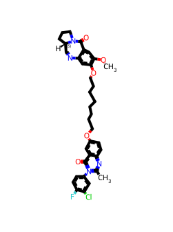 COc1cc2c(cc1OCCCCCCCCOc1ccc3nc(C)n(-c4ccc(F)c(Cl)c4)c(=O)c3c1)N=C[C@@H]1CCCN1C2=O